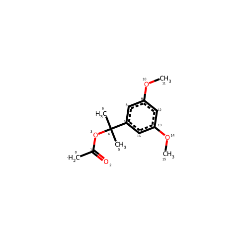 [CH2]C(=O)OC(C)(C)c1cc(OC)cc(OC)c1